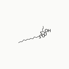 CCCCCCCCCCCCSC(=O)SC(CCC)C(=O)O